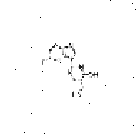 N=Cc1cnc(-c2cnc3ccc(F)cn23)nc1O